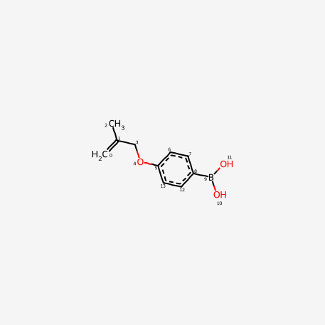 C=C(C)COc1ccc(B(O)O)cc1